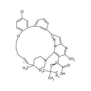 Cc1nc2cc3nn2c(c1[C@H](OC(C)(C)C)C(=O)O)N1CCC(C)(/C=C/CCCOc2ccc(Cl)cc2-c2cccc-3c2)CC1